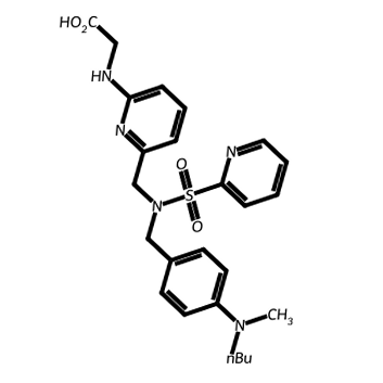 CCCCN(C)c1ccc(CN(Cc2cccc(NCC(=O)O)n2)S(=O)(=O)c2ccccn2)cc1